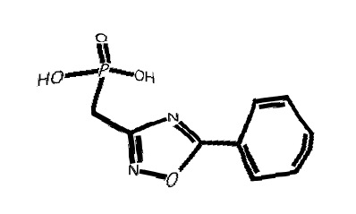 O=P(O)(O)Cc1noc(-c2ccccc2)n1